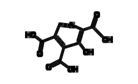 O=C(O)c1cnc(C(=O)O)c(O)c1C(=O)O